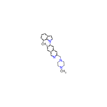 Cc1cccc2ccn(-c3ccc4cnc(CN5CCN(C)CC5)cc4c3)c12